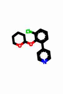 Clc1cccc(-c2ccncc2)c1OC1CCCCO1